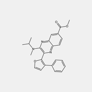 COC(=O)c1ccc2nc(-c3occc3-c3ccccc3)c(N(C)C(C)C)nc2c1